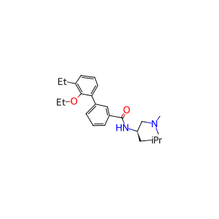 CCOc1c(CC)cccc1-c1cccc(C(=O)N[C@H](CC(C)C)CN(C)C)c1